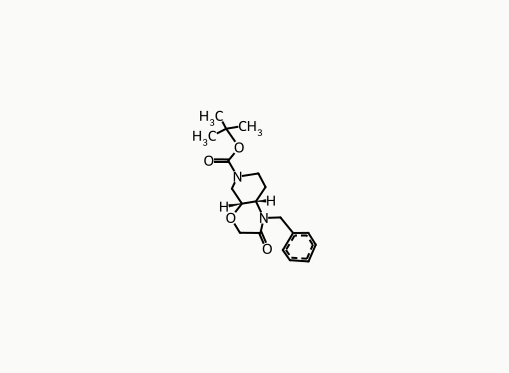 CC(C)(C)OC(=O)N1CC[C@H]2[C@@H](C1)OCC(=O)N2Cc1ccccc1